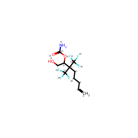 C=CCCCC(C(CO)OC(N)=O)(C(F)(F)F)C(F)(F)F